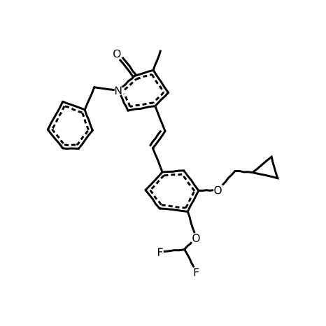 Cc1cc(C=Cc2ccc(OC(F)F)c(OCC3CC3)c2)cn(Cc2ccccc2)c1=O